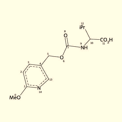 COc1ccc(COC(=O)NC(C(=O)O)C(C)C)cn1